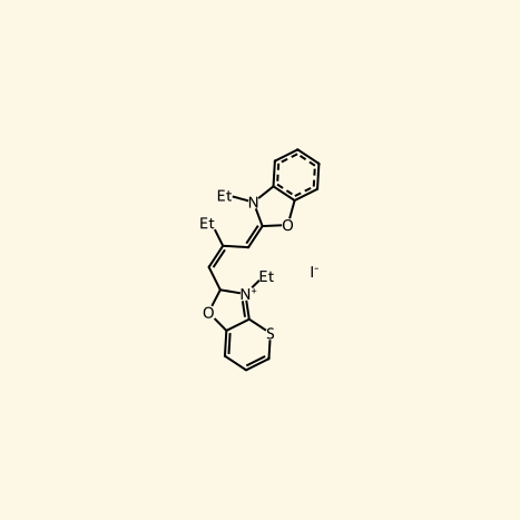 CCC(=CC1OC2=CC=CSC2=[N+]1CC)C=C1Oc2ccccc2N1CC.[I-]